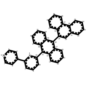 c1cc(-c2ccncc2)nc(-c2c3ccccc3c(-c3cc4ccccc4c4ccccc34)c3ccccc23)c1